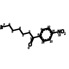 O=C(CCCCCBr)c1ccc([N+](=O)[O-])cc1